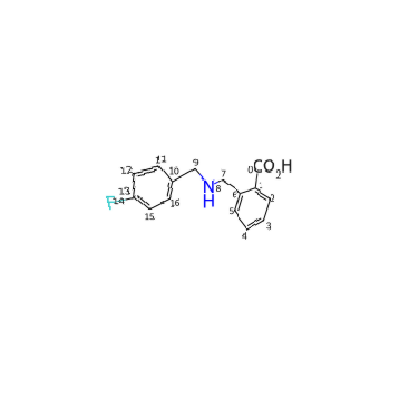 O=C(O)c1ccccc1CNCc1ccc(F)cc1